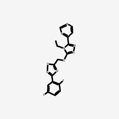 CCn1c(SCc2nc(-c3cc(F)ccc3F)no2)nnc1-c1ccncn1